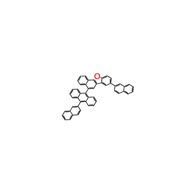 c1ccc2cc(-c3ccc4oc5c6ccccc6c(-c6c7ccccc7c(-c7ccc8ccccc8c7)c7ccccc67)cc5c4c3)ccc2c1